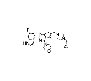 Fc1cc(-c2nc3c(c(N4CCOCC4)n2)SC(CN2CCN(CC4CC4)CC2)C3)c2cc[nH]c2c1